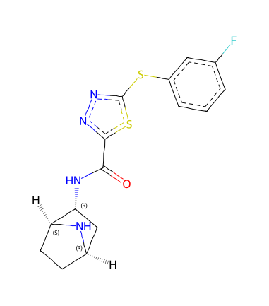 O=C(N[C@@H]1C[C@H]2CC[C@@H]1N2)c1nnc(Sc2cccc(F)c2)s1